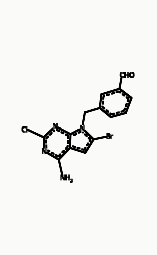 Nc1nc(Cl)nc2c1cc(Br)n2Cc1cccc(C=O)c1